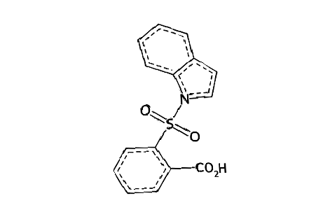 O=C(O)c1ccccc1S(=O)(=O)n1ccc2ccccc21